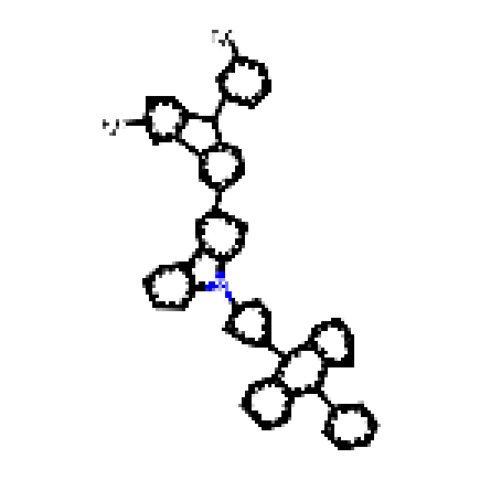 FC(F)(F)c1cccc(C2c3ccc(-c4ccc5c(c4)c4ccccc4n5-c4ccc(-c5c6ccccc6c(-c6ccccc6)c6ccccc56)cc4)cc3-c3cc(C(F)(F)F)ccc32)c1